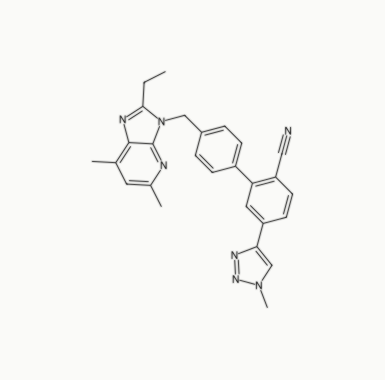 CCc1nc2c(C)cc(C)nc2n1Cc1ccc(-c2cc(-c3cn(C)nn3)ccc2C#N)cc1